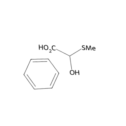 CSC(O)C(=O)O.c1ccccc1